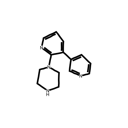 c1cncc(-c2cccnc2N2CCNCC2)c1